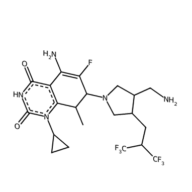 CC1c2c(c(=O)[nH]c(=O)n2C2CC2)C(N)=C(F)C1N1CC(CN)C(CC(C(F)(F)F)C(F)(F)F)C1